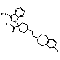 CC(=O)c1ccc2c(c1)CCN(CCC1CCC(C(N)=O)(n3cc(C(=O)O)c4cccnc43)CC1)CC2